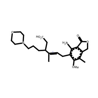 COc1c(C)c2c(c(N)c1C/C=C(\C)C(CCCN1CCOCC1)CC(=O)O)C(=O)OC2